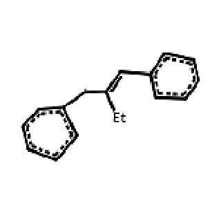 CC/C([CH]c1ccccc1)=C\c1ccccc1